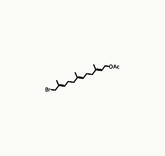 CC(=O)OC/C=C(\C)CC/C=C(\C)CC/C=C(\C)CBr